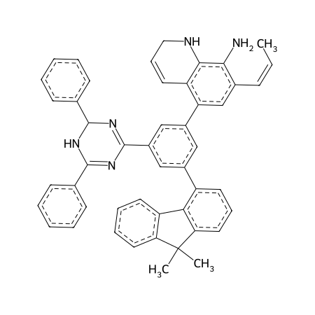 C/C=C\c1cc(-c2cc(C3=NC(c4ccccc4)NC(c4ccccc4)=N3)cc(-c3cccc4c3-c3ccccc3C4(C)C)c2)c2c(c1N)NCC=C2